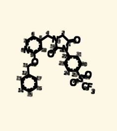 O=C1CN(Cc2ccnc(OCc3ccccc3)c2)C(=O)N1c1ccc(S(=O)(=O)C(F)(F)F)cc1